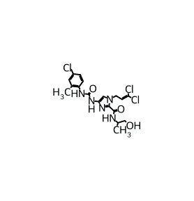 Cc1cc(Cl)ccc1NC(=O)Nc1cn(CC=C(Cl)Cl)c(C(=O)NC(C)CO)n1